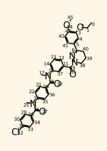 CCOc1cc(C2=NN(C(=O)c3cccc(N(C)C(=O)c4ccc(N(C)C(=O)c5ccc(Cl)cc5)cc4)c3)CCC2)ccc1OC